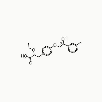 CCOC(Cc1ccc(OC[C@@H](O)c2cccc(C)c2)cc1)C(=O)O